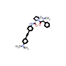 CN(C)c1ccc(C#Cc2ccc(NC(=O)[C@@H]3CCCN3C(=O)[C@@H](c3ccccc3)N(C)C)cc2)cc1